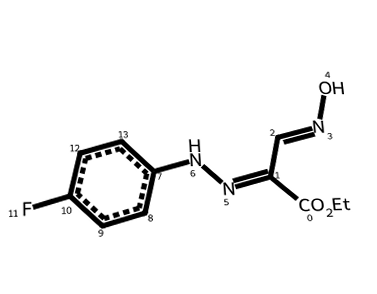 CCOC(=O)C(C=NO)=NNc1ccc(F)cc1